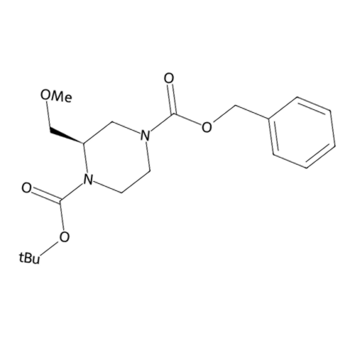 COC[C@H]1CN(C(=O)OCc2ccccc2)CCN1C(=O)OC(C)(C)C